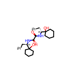 CC(C)C[C@@H](NC(=O)C(=O)N[C@H](CC(C)C)C1(O)CCCCC1)C1(O)CCCCC1